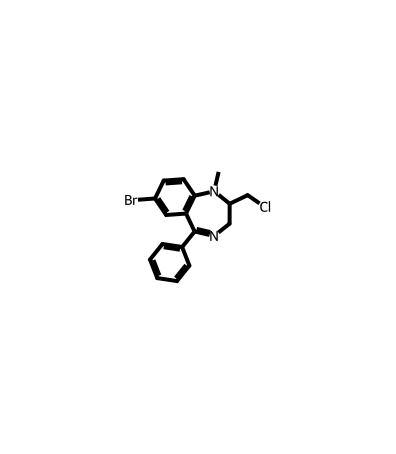 CN1c2ccc(Br)cc2C(c2ccccc2)=NCC1CCl